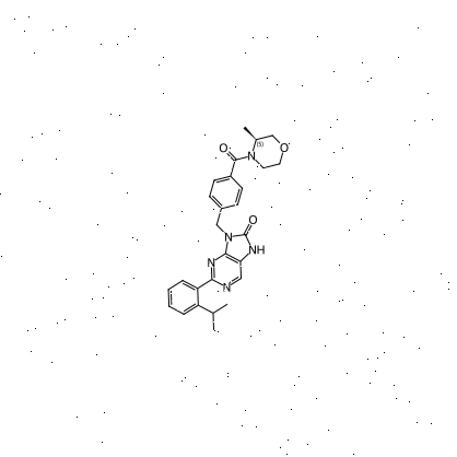 CC(C)c1ccccc1-c1ncc2[nH]c(=O)n(Cc3ccc(C(=O)N4CCOC[C@@H]4C)cc3)c2n1